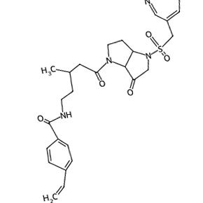 C=Cc1ccc(C(=O)NCCC(C)CC(=O)N2CCC3C2C(=O)CN3S(=O)(=O)Cc2cccnc2)cc1